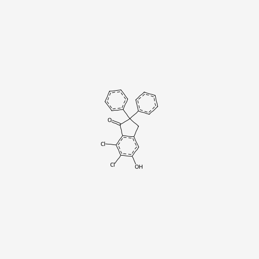 O=C1c2c(cc(O)c(Cl)c2Cl)CC1(c1ccccc1)c1ccccc1